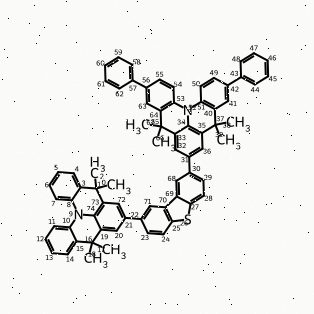 CC1(C)c2ccccc2N2c3ccccc3C(C)(C)c3cc(-c4ccc5sc6ccc(-c7cc8c9c(c7)C(C)(C)c7cc(-c%10ccccc%10)ccc7N9c7ccc(-c9ccccc9)cc7C8(C)C)cc6c5c4)cc1c32